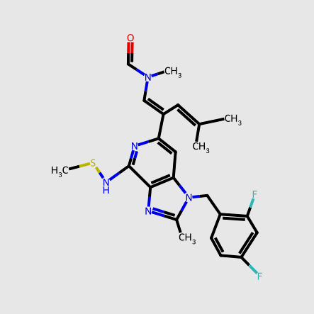 CSNc1nc(/C(C=C(C)C)=C/N(C)C=O)cc2c1nc(C)n2Cc1ccc(F)cc1F